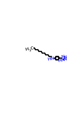 CCCCCCCCCCCCNc1ccc(-c2nnn[nH]2)cc1